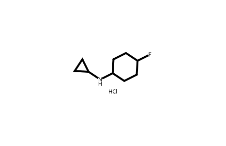 Cl.FC1CCC(NC2CC2)CC1